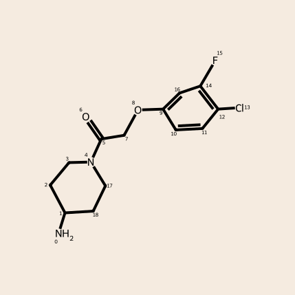 NC1CCN(C(=O)COc2ccc(Cl)c(F)c2)CC1